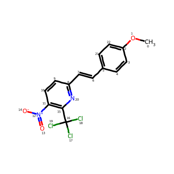 COc1ccc(C=Cc2ccc([N+](=O)[O-])c(C(Cl)(Cl)Cl)n2)cc1